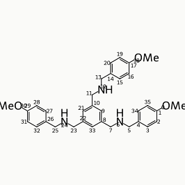 COc1ccc(CNCc2cc(CNCc3ccc(OC)cc3)cc(CNCc3ccc(OC)cc3)c2)cc1